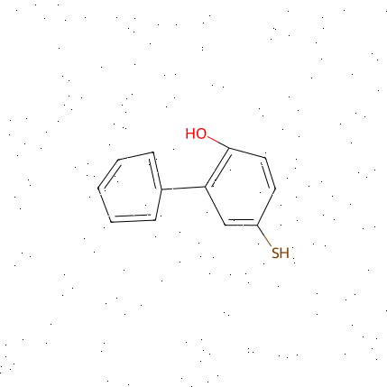 Oc1ccc(S)cc1-c1ccccc1